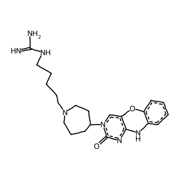 N=C(N)NCCCCCN1CCCC(n2cc3c(nc2=O)Nc2ccccc2O3)CC1